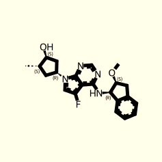 [CH2][C@H]1C[C@@H](n2cc(F)c3c(N[C@@H]4c5ccccc5C[C@@H]4OC)ncnc32)C[C@@H]1O